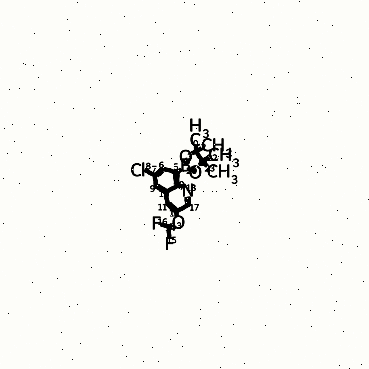 CC1(C)OB(c2cc(Cl)cc3cc(OC(F)F)cnc23)OC1(C)C